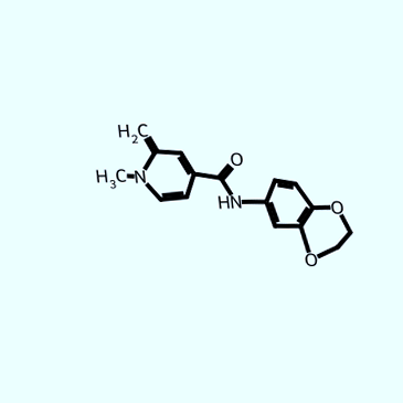 C=C1C=C(C(=O)Nc2ccc3c(c2)OCCO3)C=CN1C